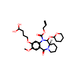 C=CCOC(=O)N1c2cc(OCCCC(O)O)c(OC)cc2C(=O)N2CCCC[C@H]2C1OC1CCCCO1